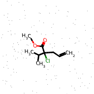 C=CCC(Cl)(C(=O)OC)C(C)C